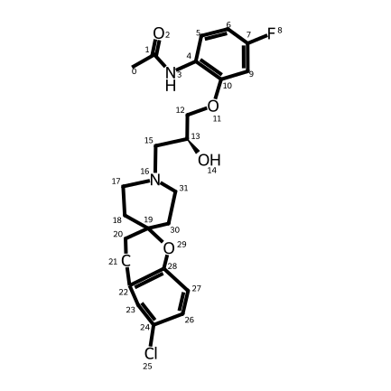 CC(=O)Nc1ccc(F)cc1OC[C@@H](O)CN1CCC2(CCc3cc(Cl)ccc3O2)CC1